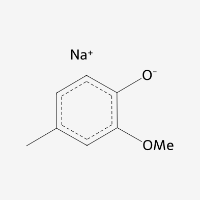 COc1cc(C)ccc1[O-].[Na+]